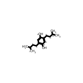 CC(C)CCc1cc(O)c(CCC(C)C)cc1O